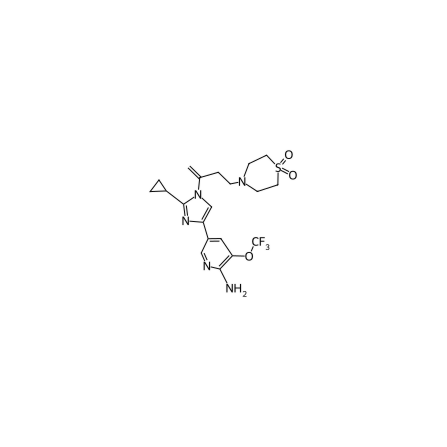 C=C(CCN1CCS(=O)(=O)CC1)n1cc(-c2cnc(N)c(OC(F)(F)F)c2)nc1C1CC1